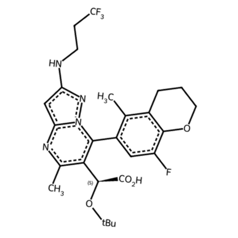 Cc1nc2cc(NCCC(F)(F)F)nn2c(-c2cc(F)c3c(c2C)CCCO3)c1[C@H](OC(C)(C)C)C(=O)O